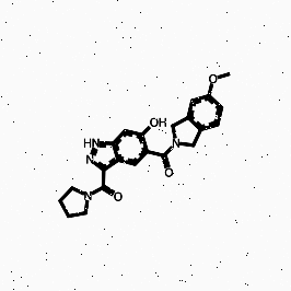 COc1ccc2c(c1)CN(C(=O)c1cc3c(C(=O)N4CCCC4)n[nH]c3cc1O)C2